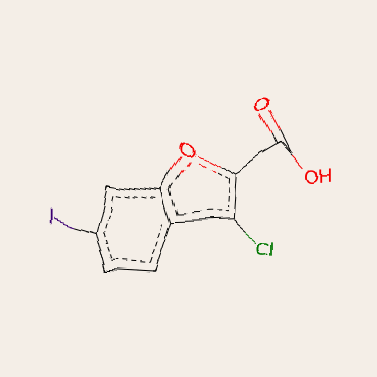 O=C(O)c1oc2cc(I)ccc2c1Cl